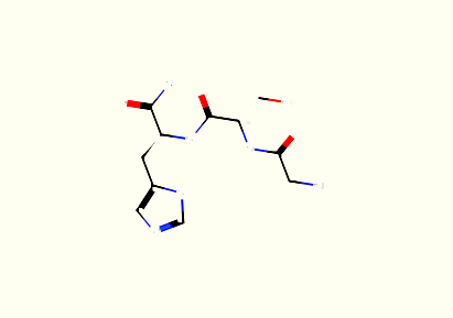 NCC(=O)N[C@@H](CO)C(=O)N[C@@H](Cc1cnc[nH]1)C(N)=O